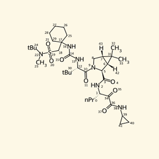 CCC[C@H](NC(=O)[C@@H]1[C@@H]2[C@H](CN1C(=O)[C@@H](NC(=O)NC1(CS(=O)(=O)N(C)C(C)(C)C)CCCCC1)C(C)(C)C)C2(C)C)C(=O)C(=O)NC1CC1